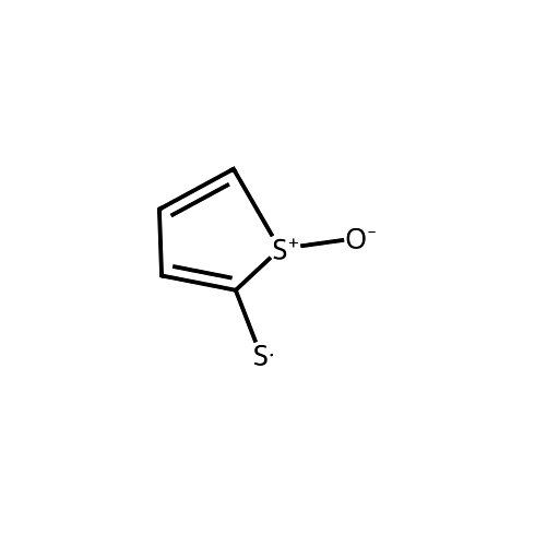 [O-][s+]1cccc1[S]